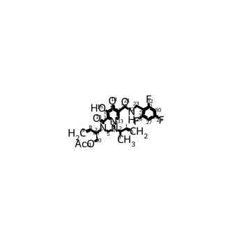 C=CC(C)N1CN([C@H](C=C)COC(C)=O)C(=O)c2c(O)c(=O)c(C(=O)NCc3c(F)cc(F)cc3F)cn21